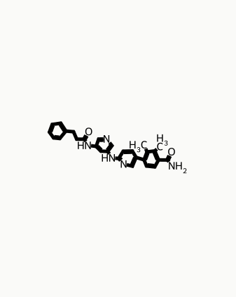 Cc1c(C(N)=O)ccc(-c2ccc(Nc3cncc(NC(=O)CCc4ccccc4)c3)nc2)c1C